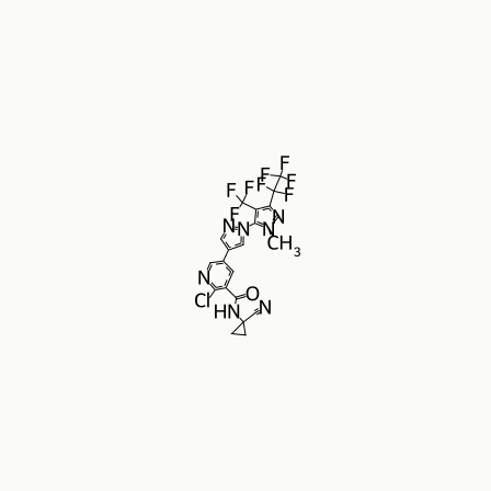 Cn1nc(C(F)(F)C(F)(F)F)c(C(F)(F)F)c1-n1cc(-c2cnc(Cl)c(C(=O)NC3(C#N)CC3)c2)cn1